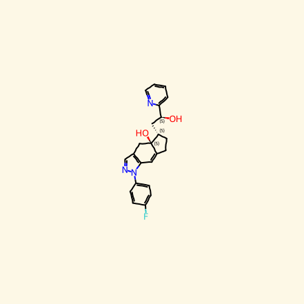 O[C@@H](C[C@@H]1CCC2=Cc3c(cnn3-c3ccc(F)cc3)C[C@@]21O)c1ccccn1